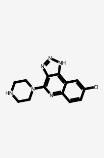 Clc1ccc2nc(N3CCNCC3)c3nn[nH]c3c2c1